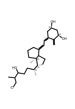 C=C1/C(=C\C=C2CCC[C@@]3(C)C2CC[C@@H]3[C@H](C)CCC(O)C(C)CCl)C[C@@H](O)C[C@H]1O